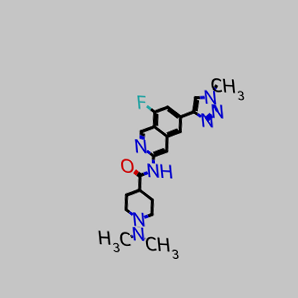 CN(C)N1CCC(C(=O)Nc2cc3cc(-c4cn(C)nn4)cc(F)c3cn2)CC1